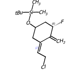 C=C1/C(=C\CCl)CC(O[Si](C)(C)C(C)(C)C)C[C@@H]1F